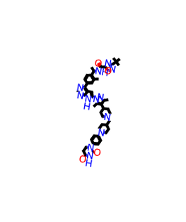 Cc1cc(-c2ncnc3[nH]c(-n4nc(C)c(C5CCN(CC6CCN(c7ccc(N8CCC(=O)NC8=O)cc7)CC6)CC5)c4C)cc23)ccc1C(C)NC(=O)c1nc(C(C)(C)C)no1